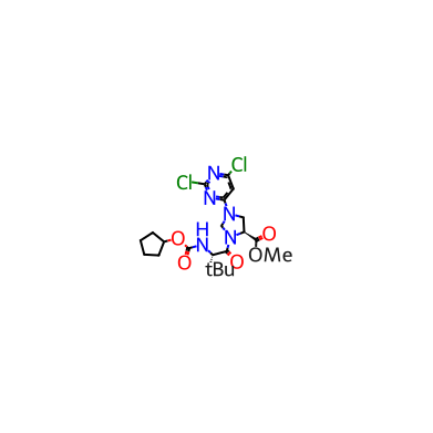 COC(=O)[C@@H]1CN(c2cc(Cl)nc(Cl)n2)CN1C(=O)[C@@H](NC(=O)OC1CCCC1)C(C)(C)C